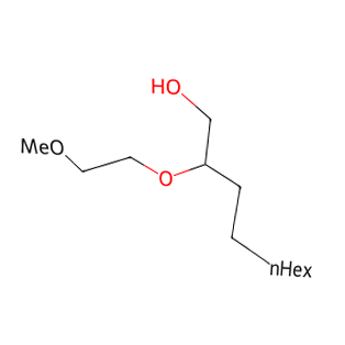 CCCCCCCCC(CO)OCCOC